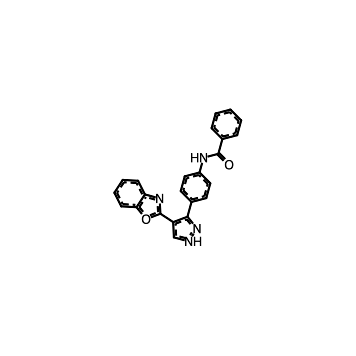 O=C(Nc1ccc(-c2n[nH]cc2-c2nc3ccccc3o2)cc1)c1ccccc1